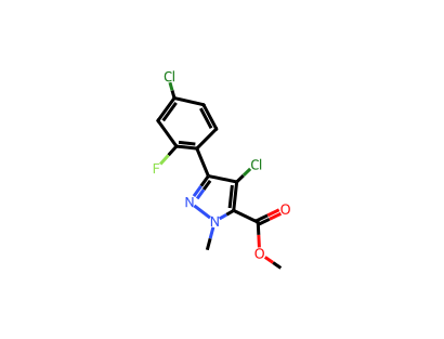 COC(=O)c1c(Cl)c(-c2ccc(Cl)cc2F)nn1C